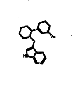 CC(=O)N1C=C(C2CCCCN2Cc2c[nH]c3ccccc23)CCC1